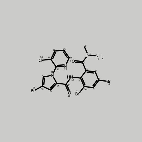 CN(N)C(=O)c1cc(Br)cc(Br)c1NC(=O)c1cc(Br)cn1-c1ncccc1Cl